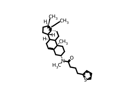 C[C@H]1[C@H]2CC[C@H]3[C@@H]4CC=C5C[C@@H](N(C)C(=O)CCCc6cccs6)CC[C@]5(C)C4CC[C@]23CN1C